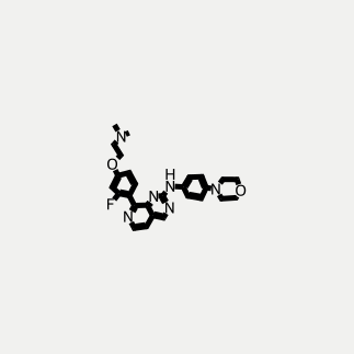 CN(C)CCOc1ccc(-c2nccc3cnc(Nc4ccc(N5CCOCC5)cc4)nc23)c(F)c1